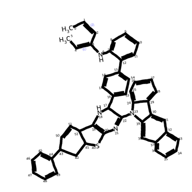 C/C=C\C(=C/C)Nc1ccccc1-c1ccc(C2NC3=C(N=C2n2c4ccccc4c4cc5ccccc5cc42)SC2CC(c4ccccc4)C=CC32)cc1